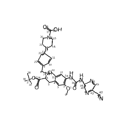 COc1cc(CC(NCc2ccc(N3CCN(C(=O)O)CC3)cc2)C(=O)OC(C)(C)C)c(Cl)cc1NC(=O)Nc1cnc(C#N)cn1